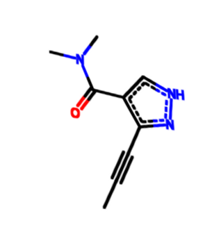 CC#Cc1n[nH]cc1C(=O)N(C)C